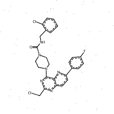 O=C(NCc1ccccc1Cl)N1CCN(c2nc(CCl)nc3ccc(-c4ccc(F)cc4)nc23)CC1